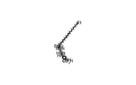 CCC=CCC=CCC=CCC=CCC=CCC=CCCCSC(CC)(CC)C(=O)NCCNC(=O)Nc1ccc(O)c(C(=O)O)c1